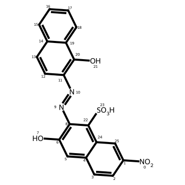 O=[N+]([O-])c1ccc2cc(O)c(N=Nc3ccc4ccccc4c3O)c(S(=O)(=O)O)c2c1